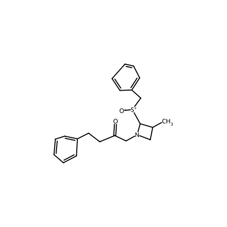 CC1CN(CC(=O)CCc2ccccc2)C1[S+]([O-])Cc1ccccc1